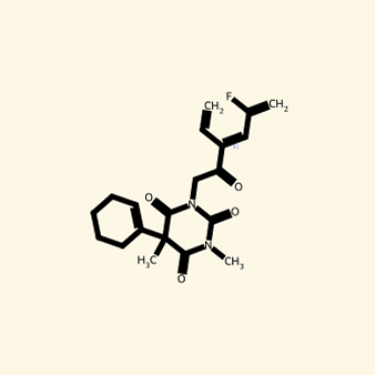 C=C/C(=C\C(=C)F)C(=O)CN1C(=O)N(C)C(=O)C(C)(C2=CCCCC2)C1=O